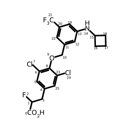 O=C(O)C(F)Cc1cc(Cl)c(OCc2cc(NC3CCC3)cc(C(F)(F)F)c2)c(Cl)c1